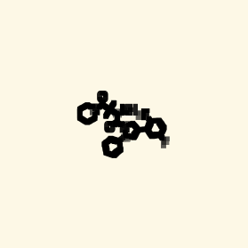 CC(C)(C(=O)N1CCCCC1)[C@H](N)C(=O)N1CC(c2cc(F)ccc2F)=C[C@H]1c1ccccc1